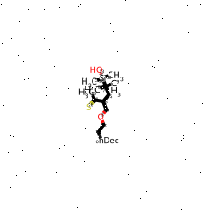 CCCCCCCCCCCCOCC(CC(C)(C)[Si](C)(C)O)C(C)=S